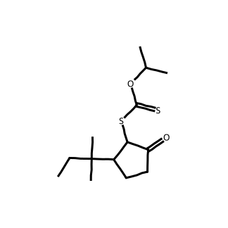 CCC(C)(C)C1CCC(=O)C1SC(=S)OC(C)C